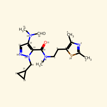 Cc1nc(C)c(CCN(C)C(=O)c2c(N(C)C=O)cnn2CC2CC2)s1